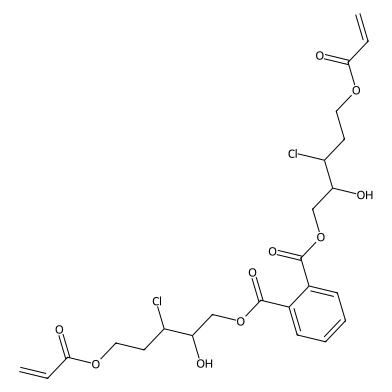 C=CC(=O)OCCC(Cl)C(O)COC(=O)c1ccccc1C(=O)OCC(O)C(Cl)CCOC(=O)C=C